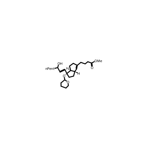 CCCCCC(O)C=C[C@]1(OC2CCCCO2)CC[C@H]2C=C(CCCC(=O)OC)CC[C@@H]21